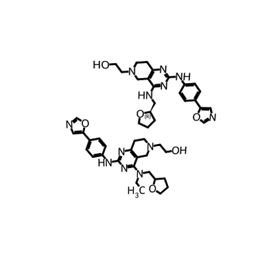 CCN(CC1CCCO1)c1nc(Nc2ccc(-c3cnco3)cc2)nc2c1CN(CCO)CC2.OCCN1CCc2nc(Nc3ccc(-c4cnco4)cc3)nc(NC[C@H]3CCCO3)c2C1